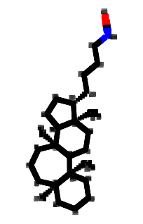 C[C@]12CCC3[C@@H](CCC[C@@H]4CCCC[C@]34C)C1CC[C@@H]2CCCCN=O